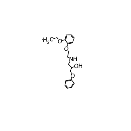 [CH2]COc1ccccc1OCCNCC(O)COc1ccccc1